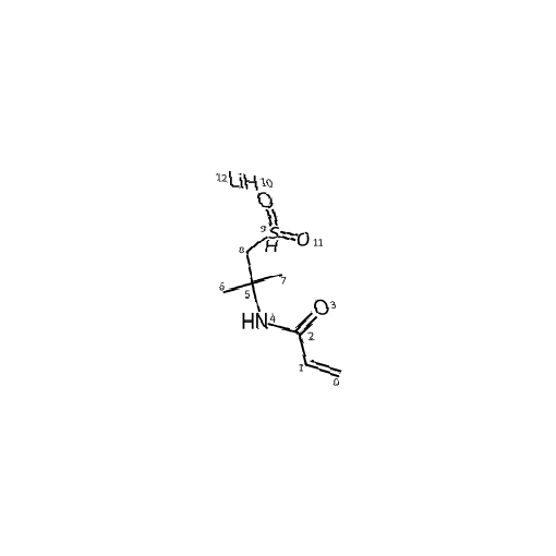 C=CC(=O)NC(C)(C)C[SH](=O)=O.[LiH]